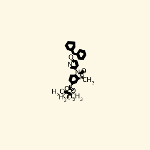 Cn1c(=O)n(-c2ccc(OC(c3ccccc3)c3ccccc3)nc2)c2ccc(B3OC(C)(C)C(C)(C)O3)cc21